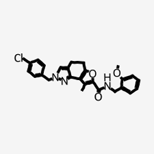 COc1ccccc1CNC(=O)c1oc2c(c1C)-c1nn(Cc3ccc(Cl)cc3)cc1CC2